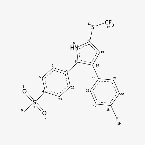 CS(=O)(=O)c1ccc(-c2[nH]c(SC(F)(F)F)cc2-c2ccc(F)cc2)cc1